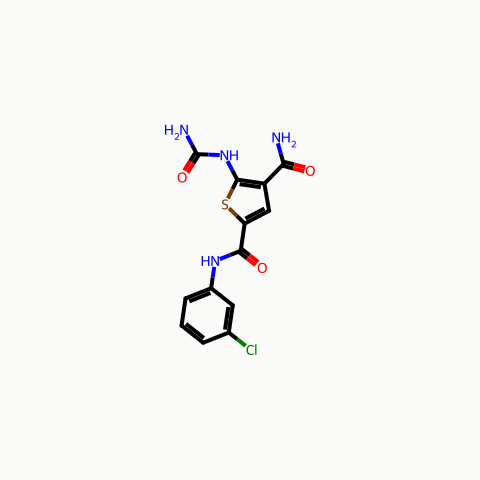 NC(=O)Nc1sc(C(=O)Nc2cccc(Cl)c2)cc1C(N)=O